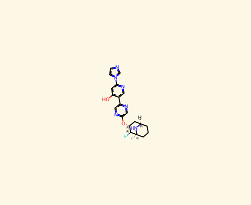 C[C@]12CCC[C@H](C[C@@H](Oc3cnc(-c4cnc(-n5ccnc5)cc4O)cn3)[C@@H]1F)N2